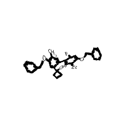 CCc1cc(-c2cc(C)c(OCc3ccccc3)cc2C2(O)CCC2)c(F)cc1OCc1ccccc1